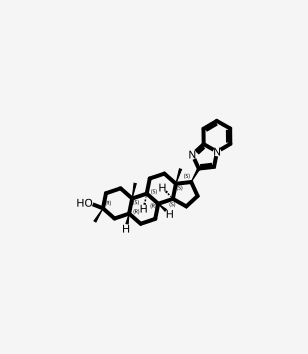 C[C@@]1(O)CC[C@@]2(C)[C@H](CC[C@@H]3[C@@H]2CC[C@]2(C)[C@@H](c4cn5ccccc5n4)CC[C@@H]32)C1